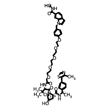 Cc1ncsc1-c1ccc([C@H](C)NC(=O)[C@@H]2C[C@@H](O)CN2C(=O)[C@@H](NC(=O)COCCOCCOCCOCCOc2ccc(Cn3ccc4ccc(C(=O)NO)cc43)cc2)C(C)(C)C)cc1